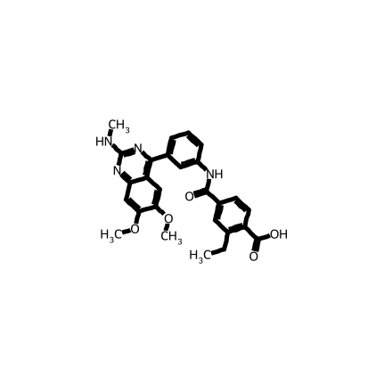 CCc1cc(C(=O)Nc2cccc(-c3nc(NC)nc4cc(OC)c(OC)cc34)c2)ccc1C(=O)O